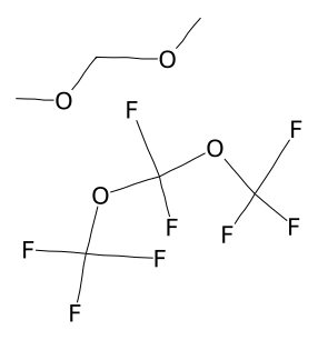 COCOC.FC(F)(F)OC(F)(F)OC(F)(F)F